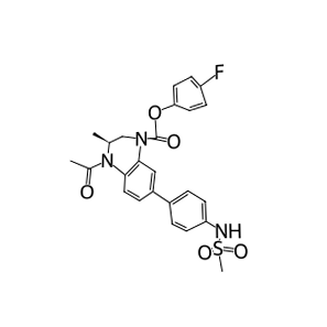 CC(=O)N1c2ccc(-c3ccc(NS(C)(=O)=O)cc3)cc2N(C(=O)Oc2ccc(F)cc2)C[C@@H]1C